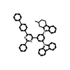 CC1CCc2c(n(-c3cc(-c4cc(-c5ccc(-c6ccccc6)cc5)nc(-c5ccccc5)n4)cc(-n4c5ccccc5c5ccccc54)c3)c3ccccc23)C1